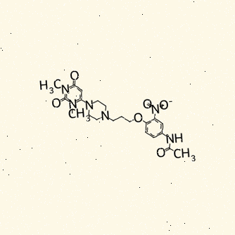 CC(=O)Nc1ccc(OCCCN2CCN(c3cc(=O)n(C)c(=O)n3C)CC2)c([N+](=O)[O-])c1